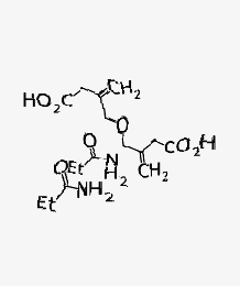 C=C(COCC(=C)CC(=O)O)CC(=O)O.CCC(N)=O.CCC(N)=O